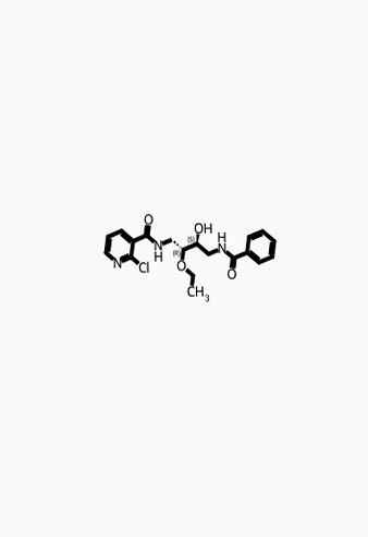 CCO[C@H](CNC(=O)c1cccnc1Cl)[C@@H](O)CNC(=O)c1ccccc1